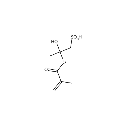 C=C(C)C(=O)OC(C)(O)CS(=O)(=O)O